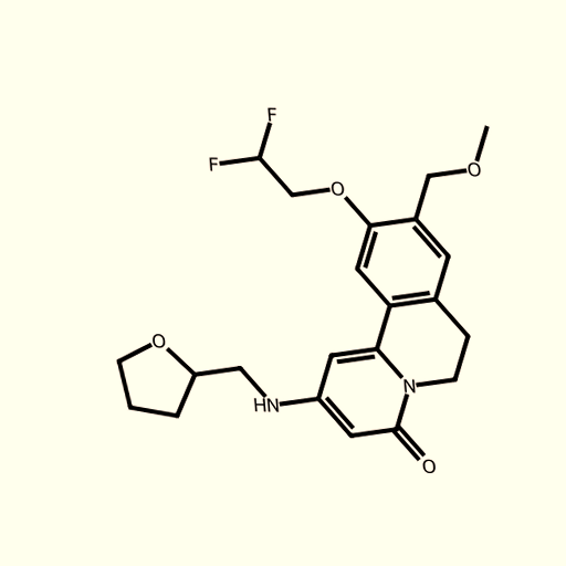 COCc1cc2c(cc1OCC(F)F)-c1cc(NCC3CCCO3)cc(=O)n1CC2